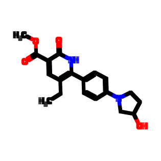 CCc1cc(C(=O)OC)c(=O)[nH]c1-c1ccc(N2CCC(O)C2)cc1